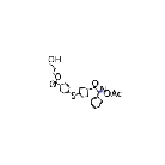 CC(=O)O/N=C(/C(=O)c1ccc(Sc2ccc(C(=O)OCCCO)cc2)cc1)c1ccccc1